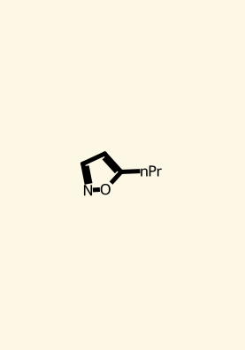 CCCc1ccno1